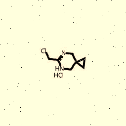 Cl.ClCC1=NCC2(CC2)CN1